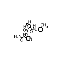 C[C@H]1CCC[C@H](CNC(=O)[C@@H]2C[C@H]3C[C@H]3N2C(=O)Cn2nc(C(N)=O)c3ccncc32)C1